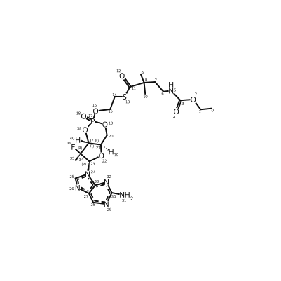 CCOC(=O)NCCC(C)(C)C(=O)SCCOP1(=O)OC[C@H]2O[C@@H](n3cnc4cnc(N)nc43)[C@](C)(F)[C@@H]2O1